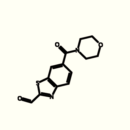 O=Cc1nc2ccc(C(=O)N3CCOCC3)cc2s1